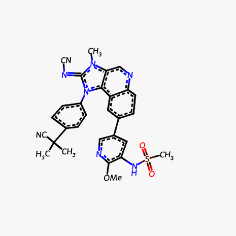 COc1ncc(-c2ccc3ncc4c(c3c2)n(-c2ccc(C(C)(C)C#N)cc2)c(=NC#N)n4C)cc1NS(C)(=O)=O